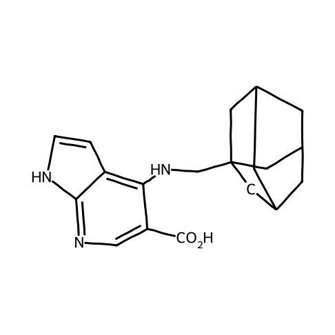 O=C(O)c1cnc2[nH]ccc2c1NCC12CC3CC(CC(C3)C1)C2